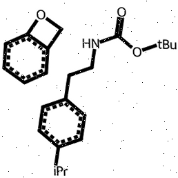 CC(C)c1ccc(CCNC(=O)OC(C)(C)C)cc1.c1ccc2c(c1)CO2